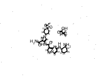 CS(=O)(=O)N1CCC(n2cc(NC(=O)c3cnn4ccc(N[C@H]5CCCC[C@H]5N)nc34)c(C(N)=O)n2)CC1.O=C(O)C(F)(F)F